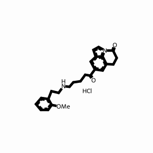 COc1ccccc1CCNCCCCC(=O)c1cc2c3c(ccn3C(=O)CC2)c1.Cl